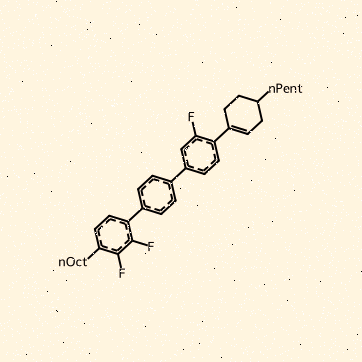 CCCCCCCCc1ccc(-c2ccc(-c3ccc(C4=CCC(CCCCC)CC4)c(F)c3)cc2)c(F)c1F